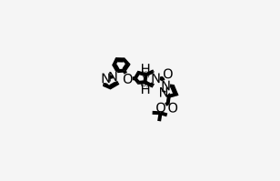 CC(C)(C)OC(=O)c1ccn(C(=O)N2C[C@H]3CC(Oc4ccccc4-n4cccn4)C[C@@H]3C2)n1